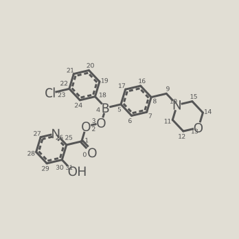 O=C(OOB(c1ccc(CN2CCOCC2)cc1)c1cccc(Cl)c1)c1ncccc1O